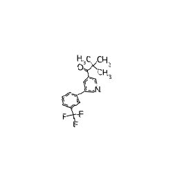 CC(C)(C)C(=O)c1cncc(-c2cccc(C(F)(F)F)c2)c1